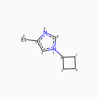 CCc1cn(C2CCC2)cn1